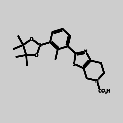 Cc1c(B2OC(C)(C)C(C)(C)O2)cccc1-c1nc2c(s1)CN(C(=O)O)CC2